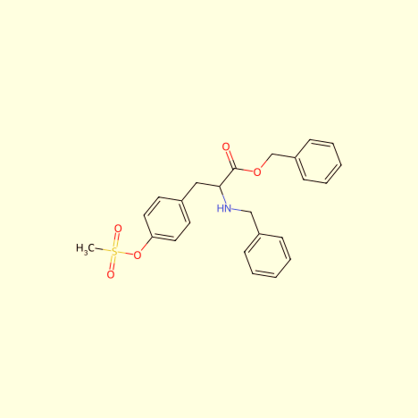 CS(=O)(=O)Oc1ccc(CC(NCc2ccccc2)C(=O)OCc2ccccc2)cc1